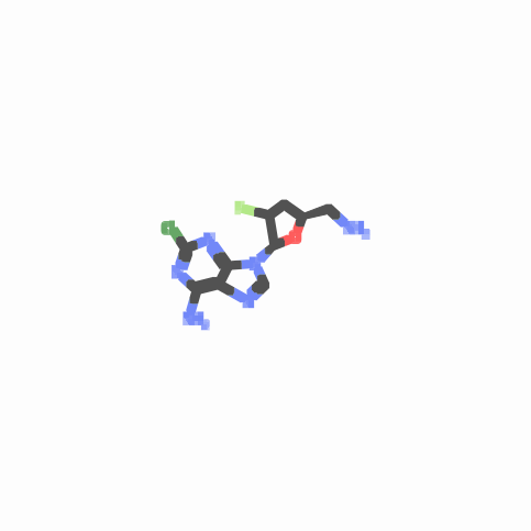 NC[C@@H]1CC(F)[C@H](n2cnc3c(N)nc(Cl)nc32)O1